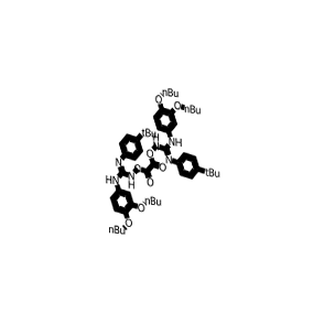 CCCCOc1ccc(NC(=Nc2ccc(C(C)(C)C)cc2)NOC(=O)C(=O)ONC(=Nc2ccc(C(C)(C)C)cc2)Nc2ccc(OCCCC)c(OCCCC)c2)cc1OCCCC